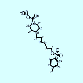 Cc1ccc(S(=O)(=O)OCCCCCCC2CCN(C(=O)OC(C)(C)C)CC2)cc1